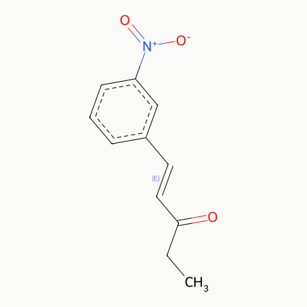 CCC(=O)/C=C/c1cccc([N+](=O)[O-])c1